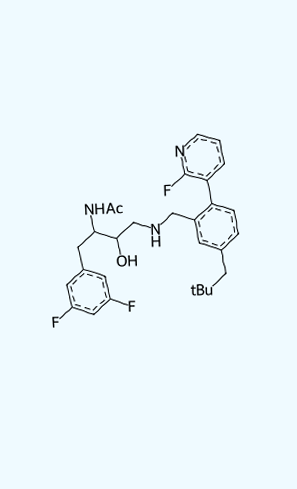 CC(=O)NC(Cc1cc(F)cc(F)c1)C(O)CNCc1cc(CC(C)(C)C)ccc1-c1cccnc1F